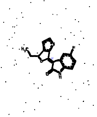 CCC1O/C(=C2\C(=O)Nc3ccc(F)cc32)c2sccc21